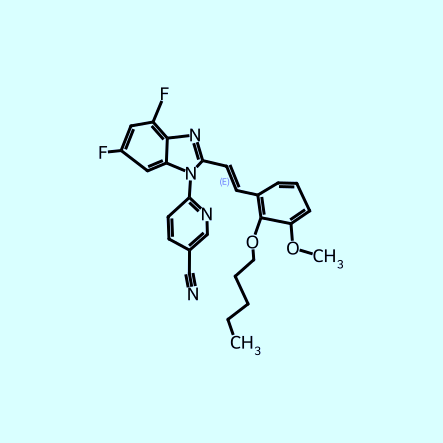 CCCCCOc1c(/C=C/c2nc3c(F)cc(F)cc3n2-c2ccc(C#N)cn2)cccc1OC